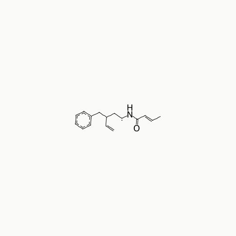 C=CC(C[CH]NC(=O)C=CC)Cc1ccccc1